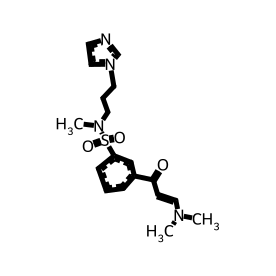 CN(C)/C=C/C(=O)c1cccc(S(=O)(=O)N(C)CCCn2ccnc2)c1